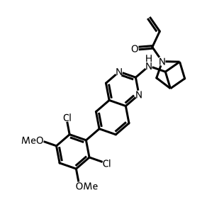 C=CC(=O)N1CC2CC1C2Nc1ncc2cc(-c3c(Cl)c(OC)cc(OC)c3Cl)ccc2n1